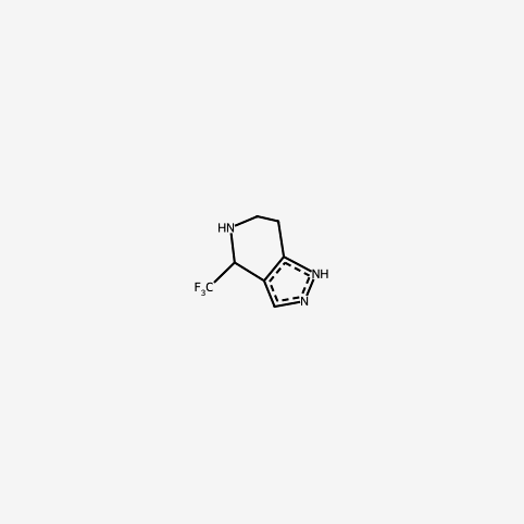 FC(F)(F)C1NCCc2[nH]ncc21